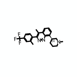 Cc1cc(C(F)(F)F)ccc1-c1nnc2c([C@@H]3CCCN(C)C3)cccc2c1C